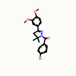 COc1ccc(C2=NN(C(=O)c3ccc(Br)cc3)C(C)(C)C2)cc1OC